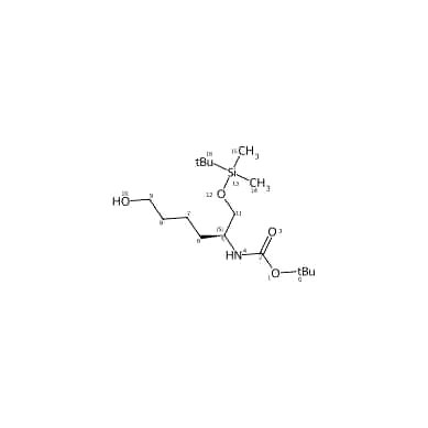 CC(C)(C)OC(=O)N[C@@H](CCCCO)CO[Si](C)(C)C(C)(C)C